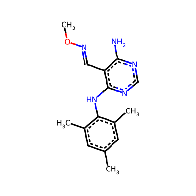 CO/N=C/c1c(N)ncnc1Nc1c(C)cc(C)cc1C